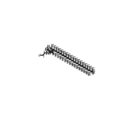 [CH2]CCNS(=O)(=O)C(F)(F)C(F)(F)C(F)(F)C(F)(F)C(F)(F)C(F)(F)C(F)(F)C(F)(F)C(F)(F)C(F)(F)C(F)(F)C(F)(F)C(F)(F)C(F)(F)C(F)(F)C(F)(F)C(F)(F)C(F)(F)F